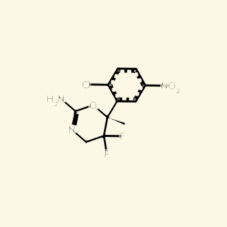 C[C@]1(c2cc([N+](=O)[O-])ccc2Cl)OC(N)=NCC1(F)F